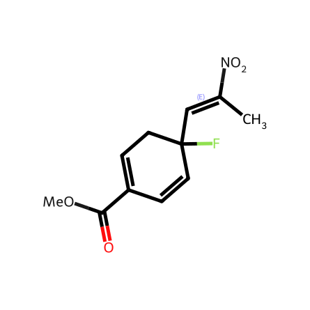 COC(=O)C1=CCC(F)(/C=C(\C)[N+](=O)[O-])C=C1